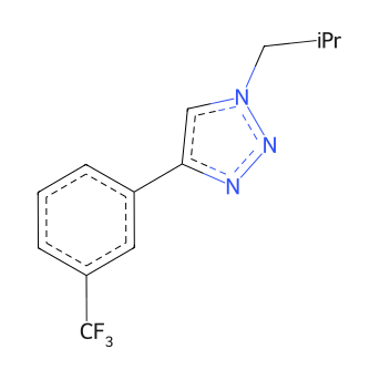 CC(C)Cn1cc(-c2cccc(C(F)(F)F)c2)nn1